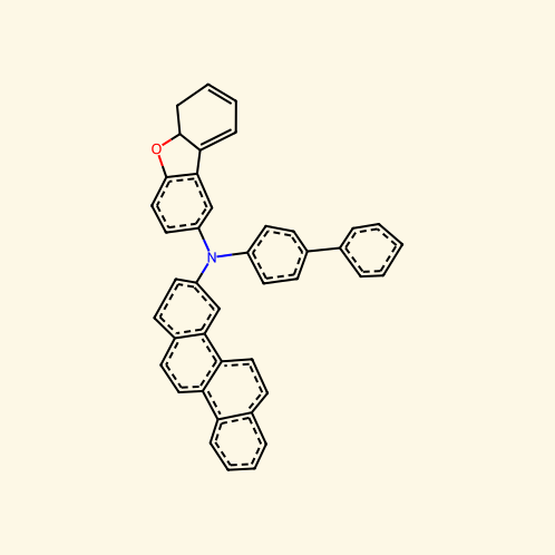 C1=CCC2Oc3ccc(N(c4ccc(-c5ccccc5)cc4)c4ccc5ccc6c7ccccc7ccc6c5c4)cc3C2=C1